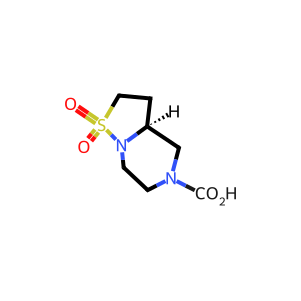 O=C(O)N1CCN2[C@@H](CCS2(=O)=O)C1